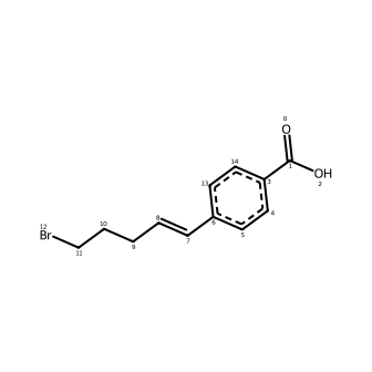 O=C(O)c1ccc(C=CCCCBr)cc1